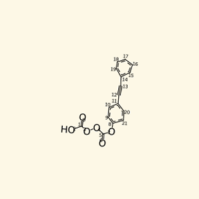 O=C(O)OOC(=O)Oc1ccc(C#Cc2ccccc2)cc1